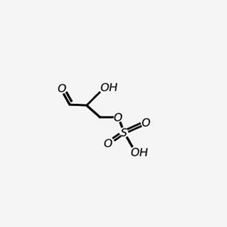 O=CC(O)COS(=O)(=O)O